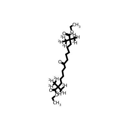 [2H]C([2H])([2H])C(CCCCCC(=O)CCCCCC(C(=O)OCC)(C([2H])([2H])[2H])C([2H])([2H])[2H])(C(=O)OCC)C([2H])([2H])[2H]